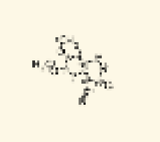 COc1cc2c(cc1OC)=C(C#N)C(=O)[N]C=2